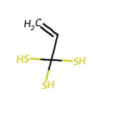 C=CC(S)(S)S